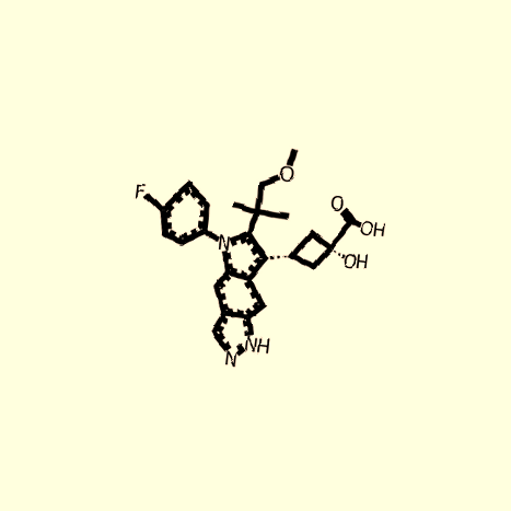 COCC(C)(C)c1c([C@H]2C[C@](O)(C(=O)O)C2)c2cc3[nH]ncc3cc2n1-c1ccc(F)cc1